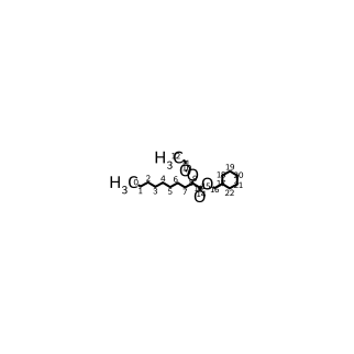 CCCCCCCCC(OOCC)C(=O)OCC1CCCCC1